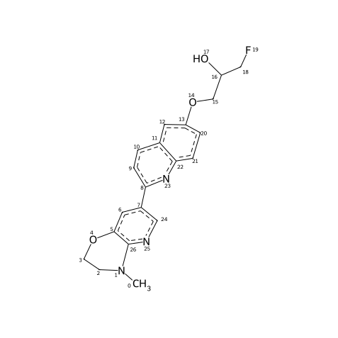 CN1CCOc2cc(-c3ccc4cc(OCC(O)CF)ccc4n3)cnc21